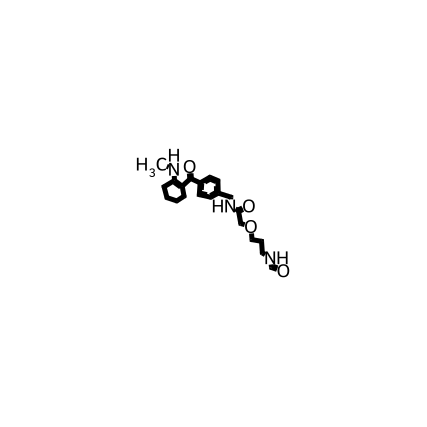 CNC1=C(C(=O)c2ccc(CNC(=O)COCCCNC=O)cc2)CCCC1